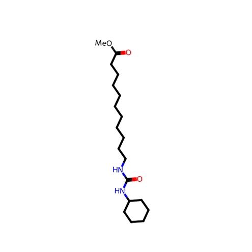 COC(=O)CCCCCCCCCCNC(=O)NC1CCCCC1